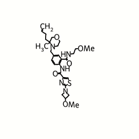 C=CCCC1(C)COCCN1Cc1ccc(NC(=O)c2csc(N3CC(OC)C3)n2)c(C(=O)NCCOC)c1